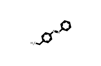 [CH2]Cc1ccc(N=Nc2ccccc2)cc1